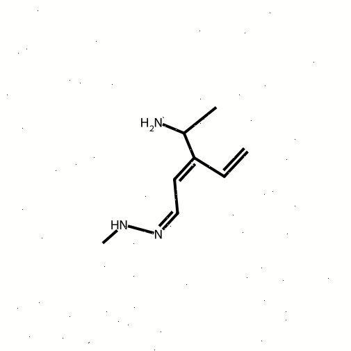 C=C/C(=C\C=N/NC)C(C)N